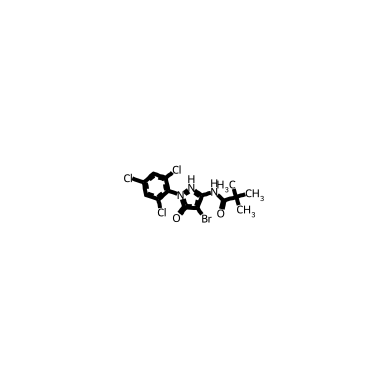 CC(C)(C)C(=O)Nc1[nH]n(-c2c(Cl)cc(Cl)cc2Cl)c(=O)c1Br